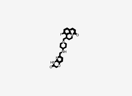 O=C1COc2ccc(CNC3CCN(CC4CCn5c(=O)ccc6ccc(F)c4c65)CC3)nc2N1